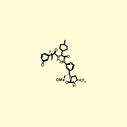 COC[C@H](c1ccnc(NC(=O)[C@@H](NC(=O)C(F)(F)c2cccc(Cl)c2)C2CCC(C)CC2)c1)N1C[C@@H](C(F)(F)F)NC1=O